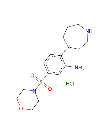 Cl.Nc1cc(S(=O)(=O)N2CCOCC2)ccc1N1CCCNCC1